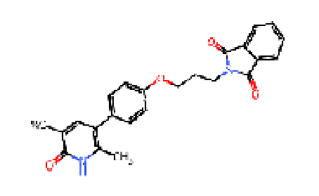 Cc1[nH]c(=O)c(C#N)cc1-c1ccc(OCCCN2C(=O)c3ccccc3C2=O)cc1